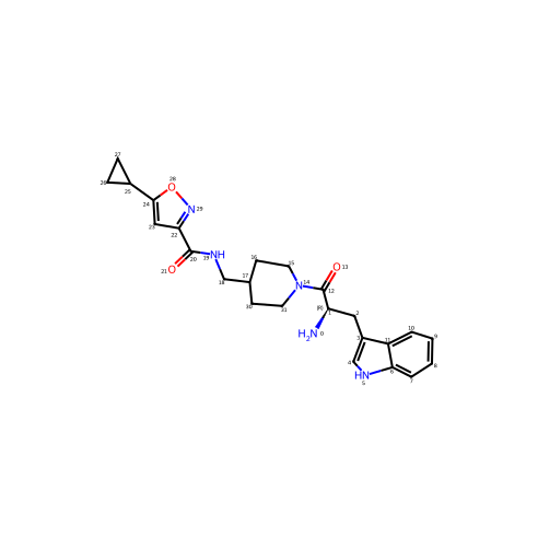 N[C@H](Cc1c[nH]c2ccccc12)C(=O)N1CCC(CNC(=O)c2cc(C3CC3)on2)CC1